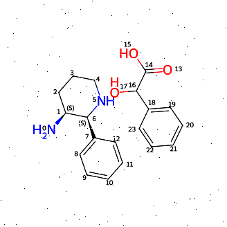 N[C@H]1CCCN[C@H]1c1ccccc1.O=C(O)C(O)c1ccccc1